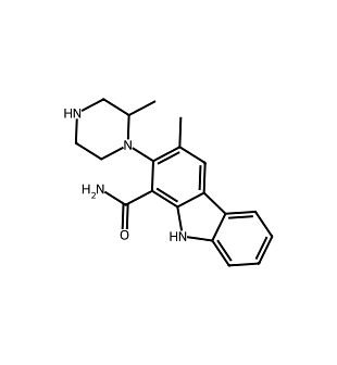 Cc1cc2c([nH]c3ccccc32)c(C(N)=O)c1N1CCNCC1C